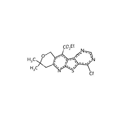 CCOC(=O)c1c2c(nc3sc4c(Cl)ncnc4c13)CC(C)(C)OC2